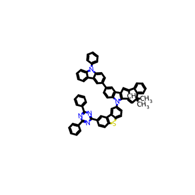 C/C1=C\c2c(n(-c3ccc4sc5ccc(-c6nc(-c7ccccc7)nc(-c7ccccc7)n6)cc5c4c3)c3ccc(-c4ccc5c(c4)c4ccccc4n5-c4ccccc4)cc23)/C=C/C(C)(C)c2ccccc21